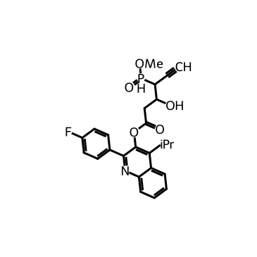 C#CC(C(O)CC(=O)Oc1c(-c2ccc(F)cc2)nc2ccccc2c1C(C)C)[PH](=O)OC